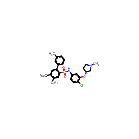 COc1cc(-c2cccc(C)c2)c(S(=O)(=O)Nc2ccc(Cl)c(O[C@@H]3CCN(C)C3)c2)cc1OC